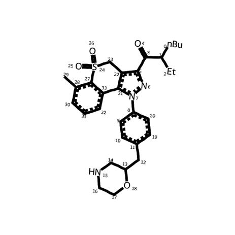 CCCCC(CC)C(=O)c1nn(-c2ccc(CC3CNCCO3)cc2)c2c1CS(=O)(=O)c1c(C)cccc1-2